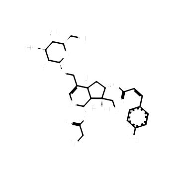 CC(C)CC(=O)O[C@@H]1OC=C(CO[C@@H]2O[C@H](CO)[C@@H](O)[C@H](O)[C@H]2O)[C@H]2C[C@H](OC(=O)/C=C\c3ccc(O)cc3)[C@](O)(CO)[C@@H]12